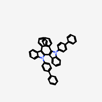 c1ccc(-c2ccc(-n3c(-c4ccccc4)c(-c4c(-c5ccccc5)c5ccccc5n4-c4ccc(-c5ccccc5)cc4)c4ccccc43)cc2)cc1